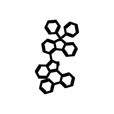 c1ccc(-c2ccccc2-c2sc(-c3cccc4c3-c3ccccc3[Si]4(c3ccccc3)c3ccccc3)c3ccccc23)cc1